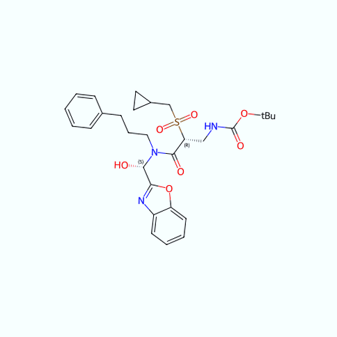 CC(C)(C)OC(=O)NC[C@H](C(=O)N(CCCc1ccccc1)[C@@H](O)c1nc2ccccc2o1)S(=O)(=O)CC1CC1